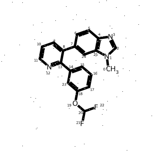 Cn1cnc2ccc(-c3cccnc3-c3cccc(OC(F)F)c3)cc21